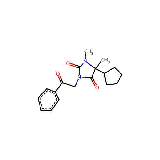 CN1C(=O)N(CC(=O)c2ccccc2)C(=O)C1(C)C1CCCC1